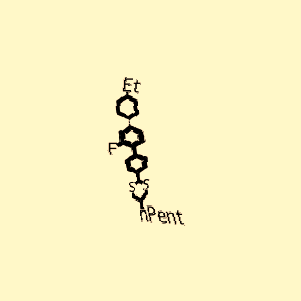 CCCCCC1CSC(c2ccc(-c3ccc([C@H]4CC[C@H](CC)CC4)cc3F)cc2)SC1